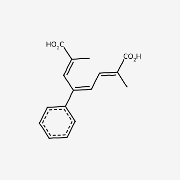 CC(=CC=C(C=C(C)C(=O)O)c1ccccc1)C(=O)O